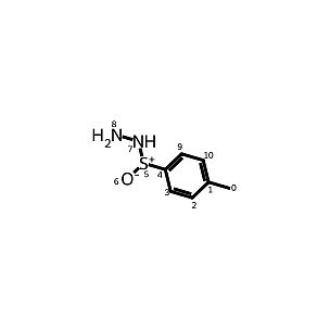 Cc1ccc([S+]([O-])NN)cc1